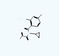 COc1cc(I)ccc1-c1nnc(Br)c(=O)n1C1CC1